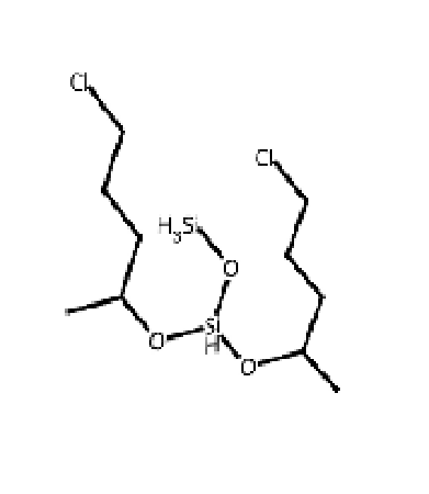 CC(CCCCl)O[SiH](O[SiH3])OC(C)CCCCl